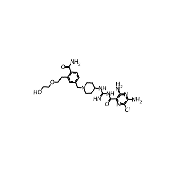 N=C(NC(=O)c1nc(Cl)c(N)nc1N)NC1CCN(Cc2ccc(C(N)=O)c(CCOCCO)c2)CC1